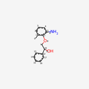 Cc1cccc(N)c1OCC(O)c1ccccc1